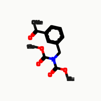 COC(=O)c1cccc(CN(C(=O)OC(C)(C)C)C(=O)OC(C)(C)C)c1